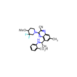 COC1CCN(c2nc3c([C@@H](C)Nc4ccccc4C(=O)O)cc(C)cc3nc2C#N)CC1(F)F